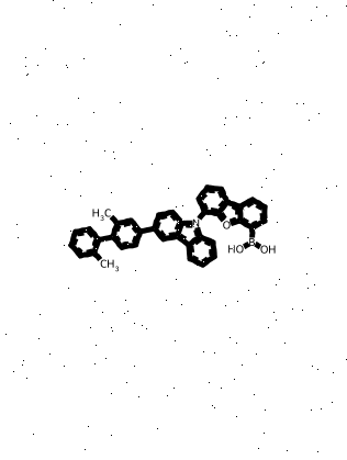 Cc1ccccc1-c1ccc(-c2ccc3c(c2)c2ccccc2n3-c2cccc3c2oc2c(B(O)O)cccc23)cc1C